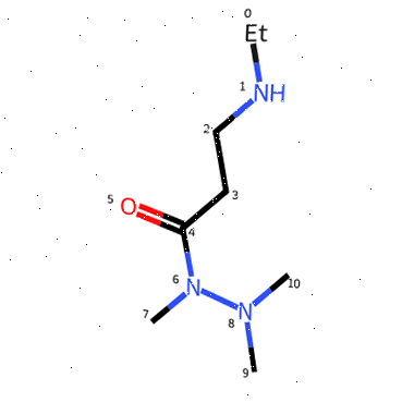 CCNCCC(=O)N(C)N(C)C